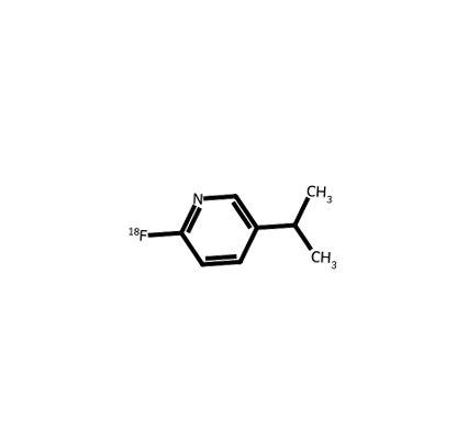 CC(C)c1ccc([18F])nc1